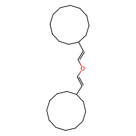 C(=CC1CCCCCCCCCCC1)OC=CC1CCCCCCCCCCC1